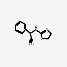 C#CC(NC1=NCCO1)c1ccccc1